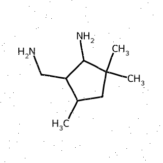 CC1CC(C)(C)C(N)C1CN